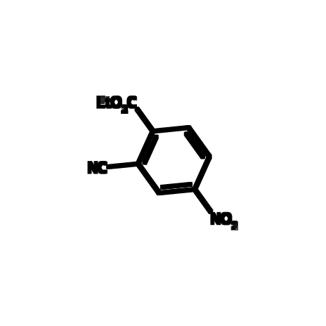 CCOC(=O)c1ccc([N+](=O)[O-])cc1C#N